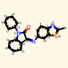 Cc1nc2ccc(N=C3C(=O)N(c4ccccc4)c4ccccc43)cc2s1